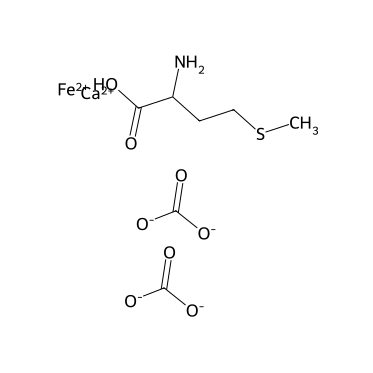 CSCCC(N)C(=O)O.O=C([O-])[O-].O=C([O-])[O-].[Ca+2].[Fe+2]